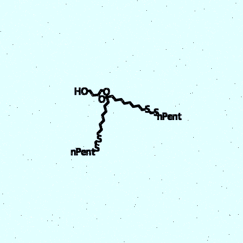 CCCCCSCSCCCCCCCCC1(CCCCCCCCSCSCCCCC)OCC(CCO)O1